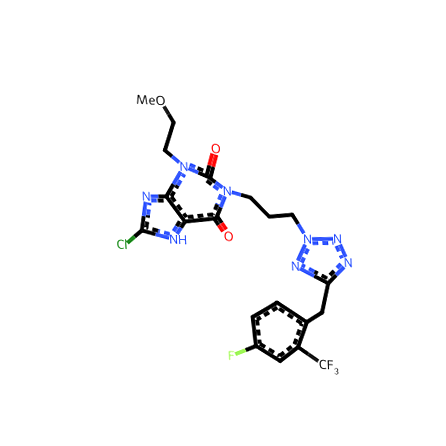 COCCn1c(=O)n(CCCn2nnc(Cc3ccc(F)cc3C(F)(F)F)n2)c(=O)c2[nH]c(Cl)nc21